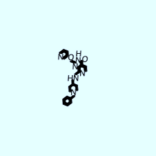 O=c1[nH]c(COc2cccnc2)nc2c(CNCC3CCN(Cc4ccccc4)CC3)nccc12